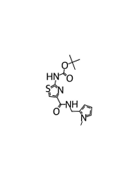 Cn1cccc1CNC(=O)c1csc(NC(=O)OC(C)(C)C)n1